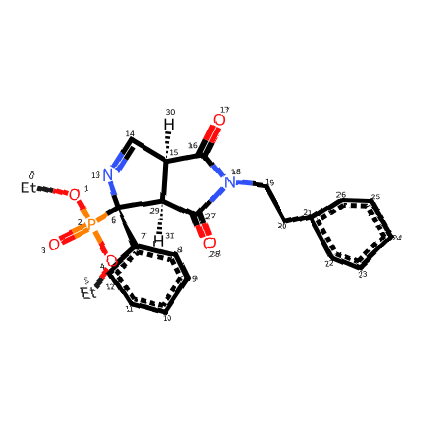 CCOP(=O)(OCC)[C@]1(c2ccccc2)N=C[C@H]2C(=O)N(CCc3ccccc3)C(=O)[C@H]21